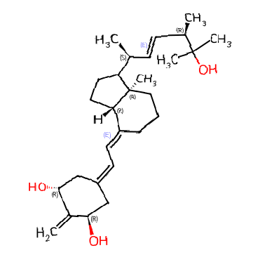 C=C1[C@H](O)CC(=C/C=C2\CCC[C@]3(C)C([C@@H](C)/C=C/[C@@H](C)C(C)(C)O)CC[C@@H]23)C[C@H]1O